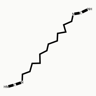 N=C=NCCCCCCCCCCCCN=C=N